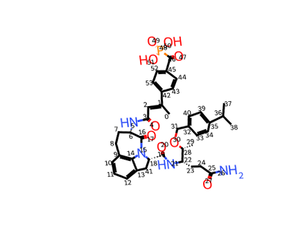 C/C(=C\C(=O)N[C@H]1CCc2cccc3c2N(C1=O)[C@H](C(=O)N[C@@H](CCC(N)=O)[C@@H](C)OCc1ccc(C(C)C)cc1)C3)c1ccc(C(=O)P(=O)(O)O)cc1